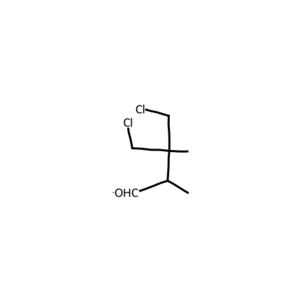 CC([C]=O)C(C)(CCl)CCl